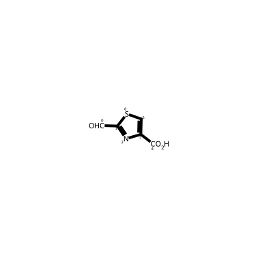 O=Cc1nc(C(=O)O)cs1